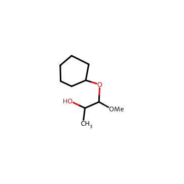 COC(OC1CCCCC1)C(C)O